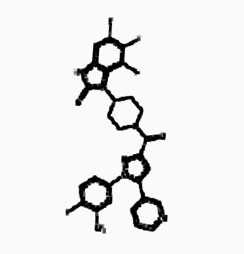 O=C(c1cc(-c2cccnc2)n(-c2ccc(F)c(C(F)(F)F)c2)n1)N1CCC(n2c(=S)[nH]c3cc(F)c(F)c(F)c32)CC1